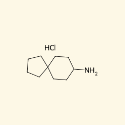 Cl.NC1CCC2(CCCC2)CC1